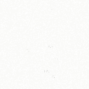 Cc1cc(I)ccc1Nc1cnccc1C(=O)NN